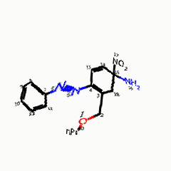 CCCOCC1=C(N=Nc2ccccc2)C=CC(N)([N+](=O)[O-])C1